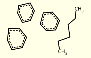 CCCCCC.c1ccccc1.c1ccccc1.c1ccccc1